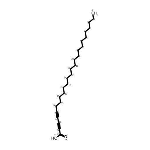 CCCCCCCCCCCCCCCCCCCCCC#CC#CC(=O)O